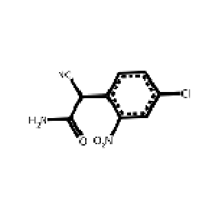 N#CC(C(N)=O)c1ccc(Cl)cc1[N+](=O)[O-]